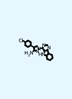 Nc1nn(-c2ncnc3c2[nH]c2ccccc23)cc1-c1ccc(Cl)cc1